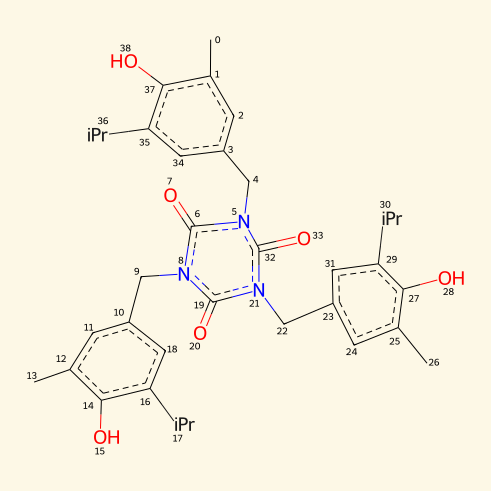 Cc1cc(Cn2c(=O)n(Cc3cc(C)c(O)c(C(C)C)c3)c(=O)n(Cc3cc(C)c(O)c(C(C)C)c3)c2=O)cc(C(C)C)c1O